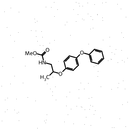 COC(=O)NCC(C)Oc1ccc(Oc2ccccc2)cc1